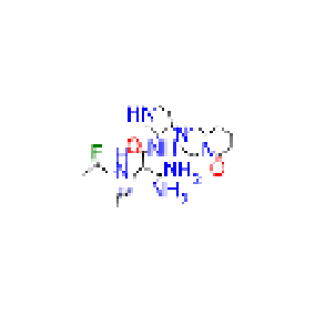 C/C=C/C(NCC(C)F)C(C(=O)NC1CNCCC1N1CCN2C(=O)CCCC2C1)C(N)N